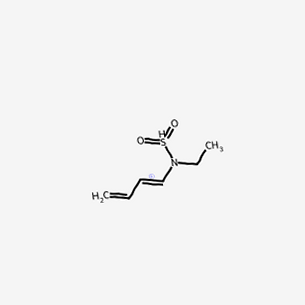 C=C/C=C/N(CC)[SH](=O)=O